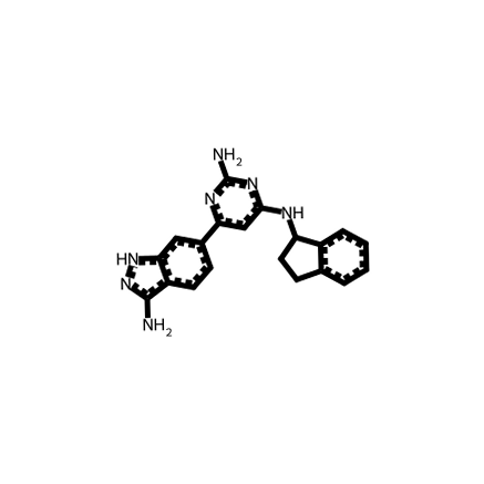 Nc1nc(NC2CCc3ccccc32)cc(-c2ccc3c(N)n[nH]c3c2)n1